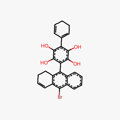 Oc1c(O)c(-c2c3c(c(Br)c4ccccc24)C=CCC3)c(O)c(O)c1C1=CCCC=C1